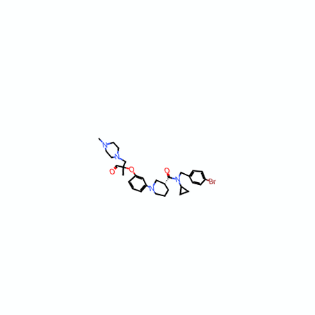 CN1CCN(CC(C)(C=O)Oc2cccc(N3CCC[C@@H](C(=O)N(Cc4ccc(Br)cc4)C4CC4)C3)c2)CC1